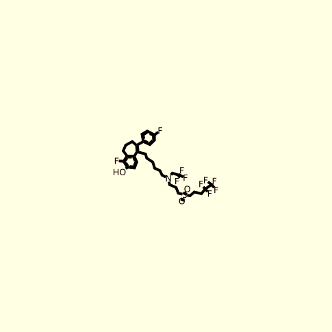 O=S(=O)(CCCN(CCCCCCC1=C(c2ccc(F)cc2)CCCc2c1ccc(O)c2F)CC(F)(F)F)CCCC(F)(F)C(F)(F)F